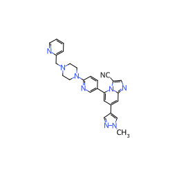 Cn1cc(-c2cc(-c3ccc(N4CCN(Cc5ccccn5)CC4)nc3)n3c(C#N)cnc3c2)cn1